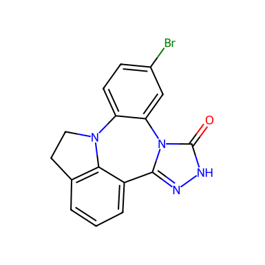 O=c1[nH]nc2n1-c1cc(Br)ccc1N1CCc3cccc-2c31